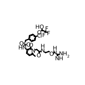 Cc1ccc(NS(=O)(=O)Cc2ccc(Cl)cc2)c(=O)n1CC(=O)NCCONC(=N)N.O=C(O)C(F)(F)F